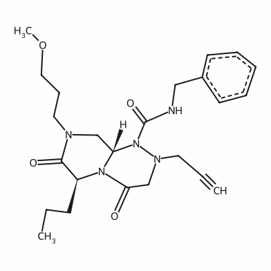 C#CCN1CC(=O)N2[C@@H](CCC)C(=O)N(CCCOC)C[C@@H]2N1C(=O)NCc1ccccc1